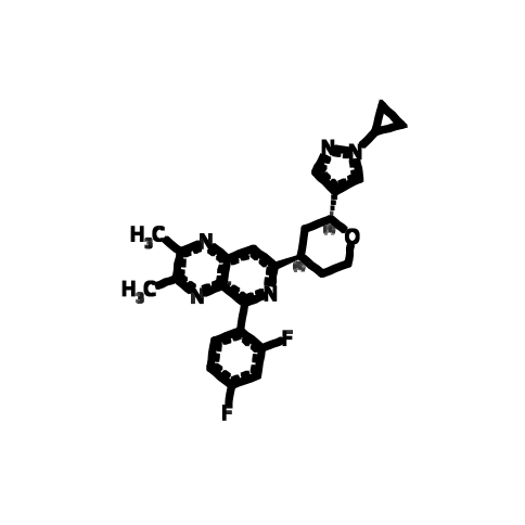 Cc1nc2cc([C@@H]3CCO[C@@H](c4cnn(C5CC5)c4)C3)nc(-c3ccc(F)cc3F)c2nc1C